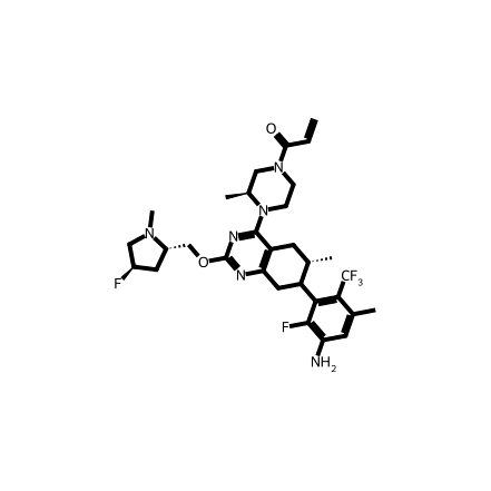 C=CC(=O)N1CCN(c2nc(OC[C@@H]3C[C@@H](F)CN3C)nc3c2C[C@H](C)C(c2c(F)c(N)cc(C)c2C(F)(F)F)C3)[C@@H](C)C1